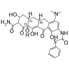 CN(C)c1cc(NC(=O)Sc2ccccc2)c(O)c2c1C[C@H]1C[C@H]3CC(O)C(C(N)=O)C(=O)[C@@]3(O)C(O)=C1C2=O